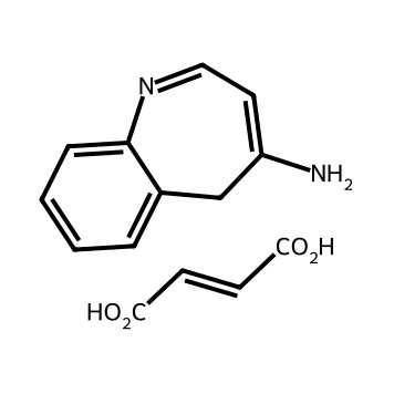 NC1=CC=Nc2ccccc2C1.O=C(O)C=CC(=O)O